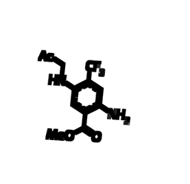 COC(=O)c1cc(NCC(C)=O)c(C(F)(F)F)cc1N